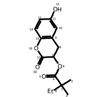 CCC(C)(C)C(=O)OC1Cc2cc(O)ccc2OC1=O